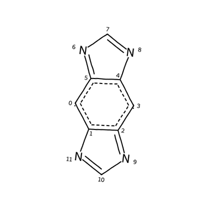 [c]1c2c([c]c3c1=NC=N3)=NC=N2